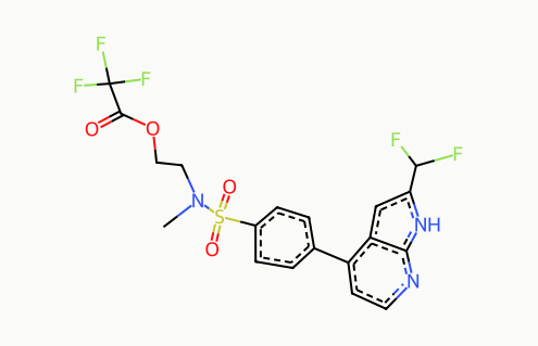 CN(CCOC(=O)C(F)(F)F)S(=O)(=O)c1ccc(-c2ccnc3[nH]c(C(F)F)cc23)cc1